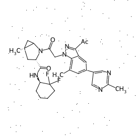 CC(=O)c1nn(CC(=O)N2C3C[C@]3(C)C[C@H]2C(=O)N[C@@H]2CCCCC2(F)F)c2c(C)cc(-c3cnc(C)nc3)cc12